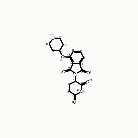 O=C1CCC(N2C(=O)c3cccc(OC4CCOCC4)c3C2=O)C(=O)N1